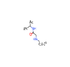 CC(=O)C(NC(=O)CNCC(=O)O)C(C)C